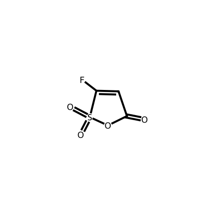 O=C1C=C(F)S(=O)(=O)O1